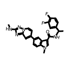 CNc1nc2cc(-c3ccc4c(c3)c(C(=O)NC(C)c3ccc(F)c(F)c3)cn4C)ccn2n1